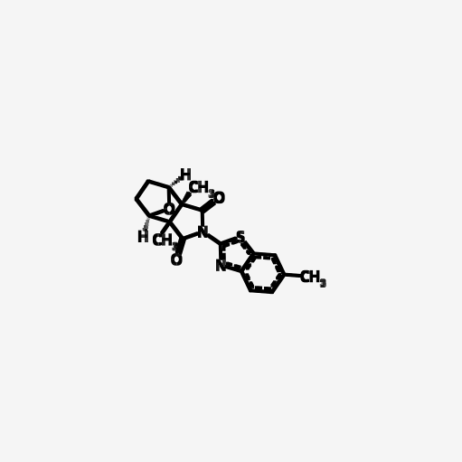 Cc1ccc2nc(N3C(=O)C4(C)[C@H]5CC[C@H](O5)[C@]4(C)C3=O)sc2c1